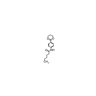 CCCCCC(=O)Nc1ccc(B2OCCCO2)cc1